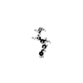 Cc1nc(-c2cnc(O[C@@H]3CCN(C(=O)Cc4ccc(O)cc4)C[C@@H]3F)c(C(N)=O)c2)cn1COCC[Si](C)(C)C